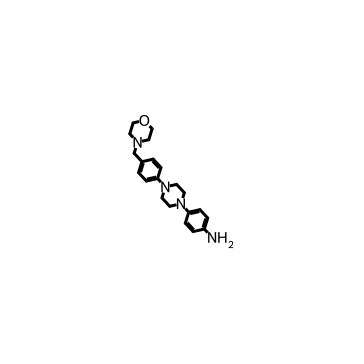 Nc1ccc(N2CCN(c3ccc(CN4CCOCC4)cc3)CC2)cc1